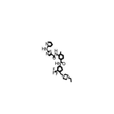 CCN1CCN(Cc2ccc(NC(=O)c3ccc(C)c(NC(=O)c4cnc(Nc5ccccn5)s4)c3)cc2C(F)(F)F)CC1